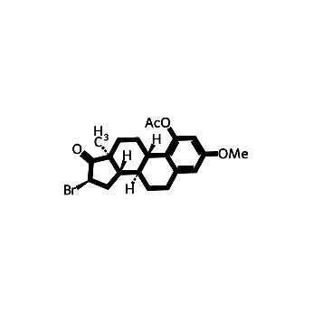 COc1cc2c(c(OC(C)=O)c1)[C@H]1CC[C@]3(C)C(=O)[C@H](Br)C[C@H]3[C@@H]1CC2